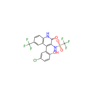 O=c1[nH]c2ccc(C(F)(F)F)cc2c(-c2cc(Cl)ccc2O)c1NS(=O)(=O)C(F)(F)F